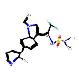 CN(C)S(=O)(=O)N[C@@H](c1cn(CC(C)(C)C)c2cc(-c3cccnc3C(F)(F)F)ccc12)C(F)F